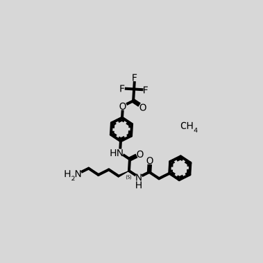 C.NCCCC[C@H](NC(=O)Cc1ccccc1)C(=O)Nc1ccc(OC(=O)C(F)(F)F)cc1